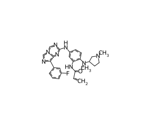 C=CC(=O)Nc1cc(Nc2ncn3cnc(-c4cccc(F)c4)c3n2)ccc1N(C)C1CCN(C)C1